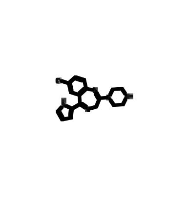 Clc1ccc2c(c1)C(c1ccc[nH]1)=NCC(N1CCNCC1)=N2